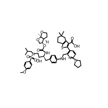 COc1ccc(S(=O)(=O)N(CC(C)C)C[C@@H](O)[C@H](Cc2ccc(NCc3nc(N4CCCC4)ccc3-c3sc4c(c3C(=O)O)CC(C)(C)CC4)cc2)NC(=O)O[C@H]2CO[C@@]3(C)OCC[C@@H]23)cc1